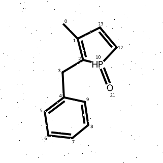 CC1=C(Cc2ccccc2)[PH](=O)C=C1